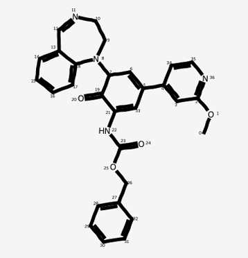 COc1cc(C2=CC(N3CCN=Cc4ccccc43)C(=O)C(NC(=O)OCc3ccccc3)=C2)ccn1